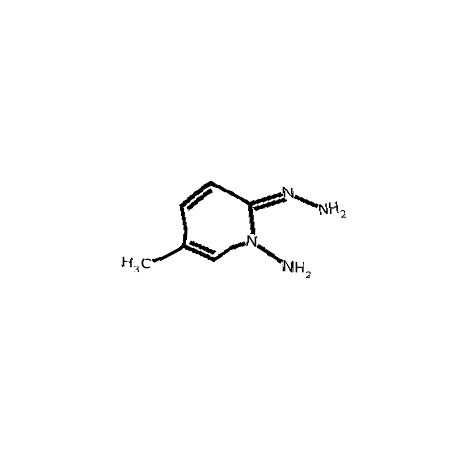 Cc1cc/c(=N/N)n(N)c1